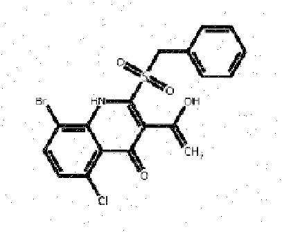 C=C(O)c1c(S(=O)(=O)Cc2ccccc2)[nH]c2c(Br)ccc(Cl)c2c1=O